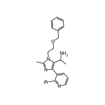 Cc1nc(-c2cccnc2C(C)C)c(C(C)N)n1CCOCc1ccccc1